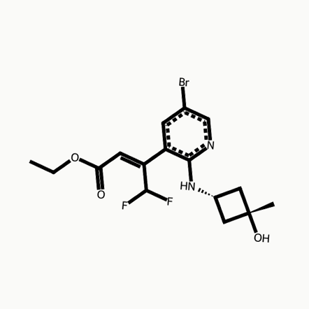 CCOC(=O)C=C(c1cc(Br)cnc1N[C@H]1C[C@@](C)(O)C1)C(F)F